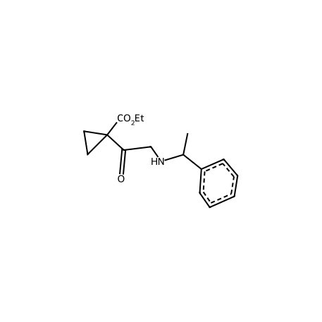 CCOC(=O)C1(C(=O)CNC(C)c2ccccc2)CC1